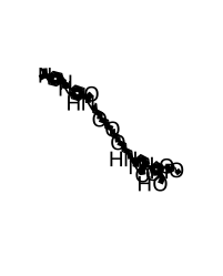 COPO[C@@H]1C[C@H](n2ccc(NCCCOCCOCCOCCCNC(=O)c3ccc(/N=N/c4ccc(N(C)C)cc4)cc3)nc2=O)OC1CO